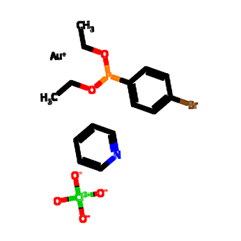 CCOP(OCC)c1ccc(Br)cc1.[Au+].[O-][Cl+3]([O-])([O-])[O-].c1ccncc1